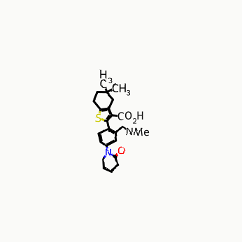 CNCc1cc(N2CCCCC2=O)ccc1-c1sc2c(c1C(=O)O)CC(C)(C)CC2